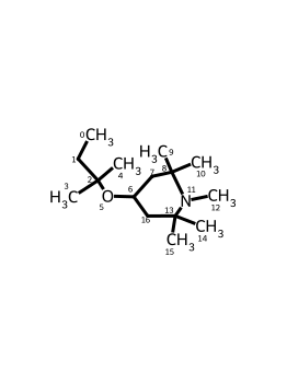 CCC(C)(C)OC1CC(C)(C)N(C)C(C)(C)C1